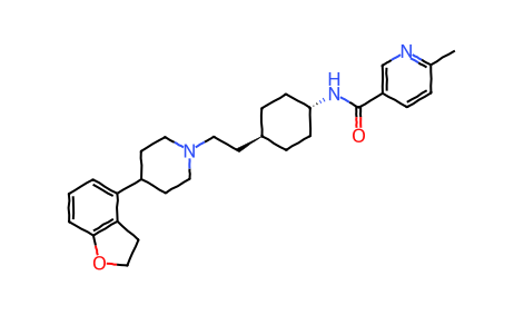 Cc1ccc(C(=O)N[C@H]2CC[C@H](CCN3CCC(c4cccc5c4CCO5)CC3)CC2)cn1